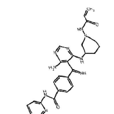 C=CC(=O)NN1CCCC(Nc2ncnc(N)c2C(=N)c2ccc(C(=O)Nc3ccccn3)cc2)C1